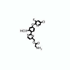 Cl.NCC(=O)OCc1ccnc(-c2ccc(Oc3ncc(Cl)cc3F)cc2F)n1